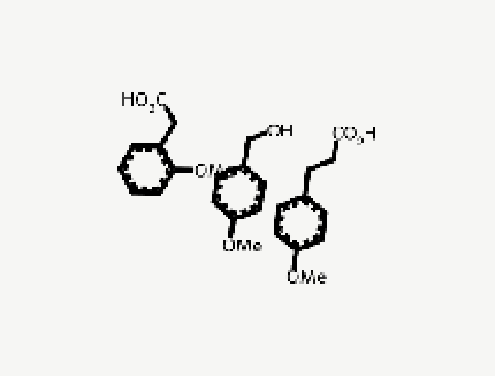 COc1ccc(CCC(=O)O)cc1.COc1ccc(CO)cc1.COc1ccccc1CC(=O)O